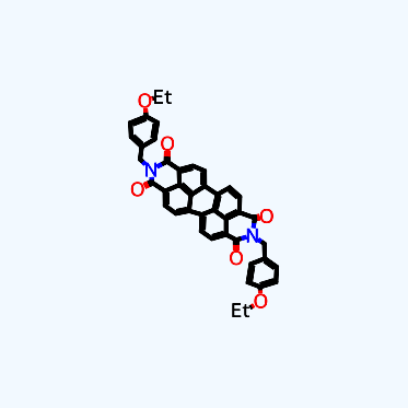 CCOc1ccc(CN2C(=O)c3ccc4c5ccc6c7c(ccc(c8ccc(c3c48)C2=O)c75)C(=O)N(Cc2ccc(OCC)cc2)C6=O)cc1